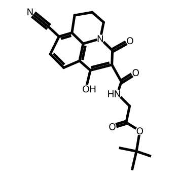 CC(C)(C)OC(=O)CNC(=O)c1c(O)c2ccc(C#N)c3c2n(c1=O)CCC3